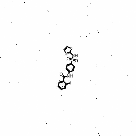 O=C(Nc1ccc(S(=O)(=O)Nc2nccs2)cc1)c1ccccc1I